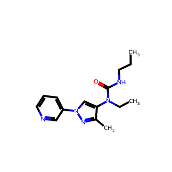 CCCNC(=O)N(CC)c1cn(-c2cccnc2)nc1C